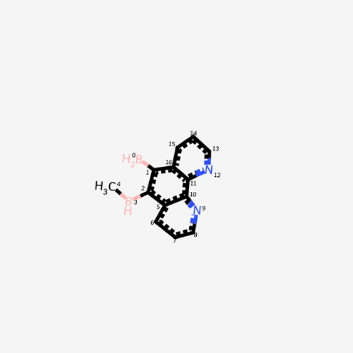 Bc1c(BC)c2cccnc2c2ncccc12